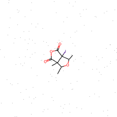 CC1OC(C)C2(I)C(=O)OC(=O)C12C